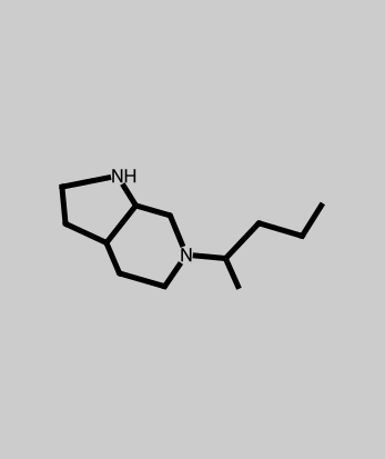 CCCC(C)N1CCC2CCNC2C1